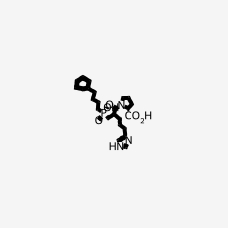 O=C(O)[C@@H]1CCCN1C(=O)C(CCCc1c[nH]cn1)CP(=O)(O)CCCCc1ccccc1